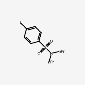 CCCN(CCC)S(=O)(=O)c1ccc(I)cc1